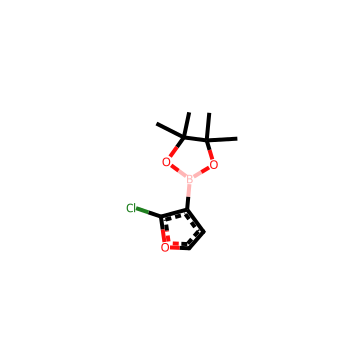 CC1(C)OB(c2ccoc2Cl)OC1(C)C